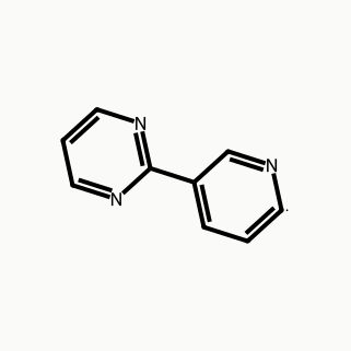 [c]1ccc(-c2ncccn2)cn1